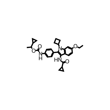 CCOc1ccc2c(NC(=O)C3CC3)c(-c3ccc(NC(=O)OC(C)C4CC4)cc3)n(C3CCC3)c2c1